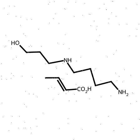 C/C=C/C(=O)O.NCCCCNCCCO